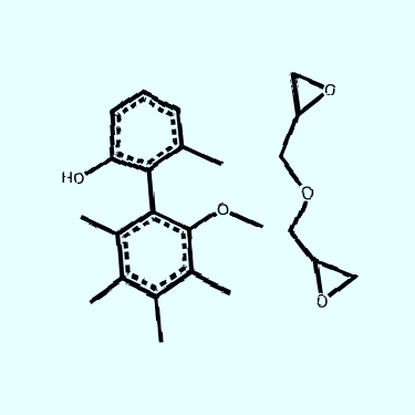 C(OCC1CO1)C1CO1.COc1c(C)c(C)c(C)c(C)c1-c1c(C)cccc1O